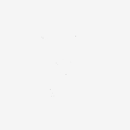 CCOc1ccc(C(C)=O)cc1NC(=O)c1cc(Br)cc(C#N)c1